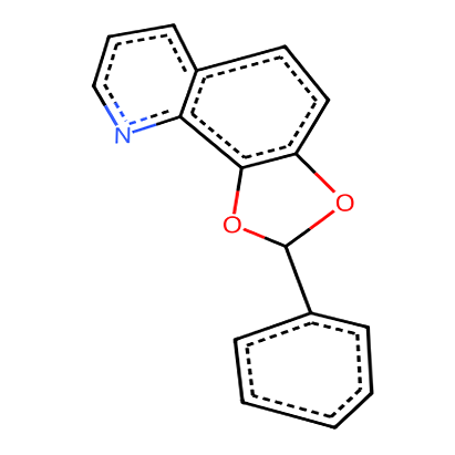 c1ccc(C2Oc3ccc4cccnc4c3O2)cc1